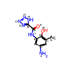 CC(=O)c1cc(N)cc(NC(=O)c2nnn[nH]2)c1O